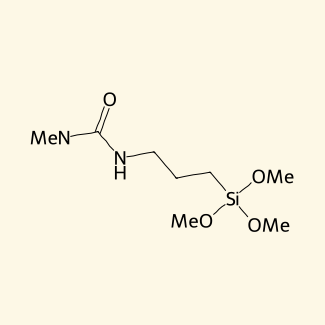 CNC(=O)NCCC[Si](OC)(OC)OC